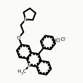 C[n+]1c2ccccc2c(-c2ccccc2)c2cc(OCCN3CCCC3)ccc21.Cl.[Cl-]